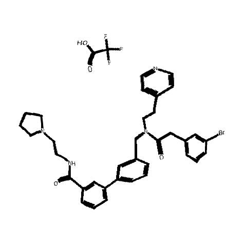 O=C(NCCN1CCCC1)c1cccc(-c2cccc(CN(CCc3ccncc3)C(=O)Cc3cccc(Br)c3)c2)c1.O=C(O)C(F)(F)F